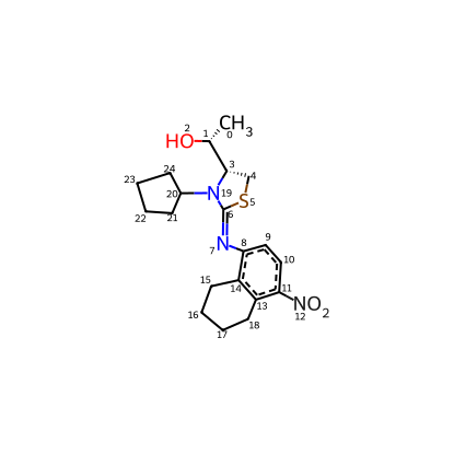 C[C@@H](O)[C@@H]1CS/C(=N\c2ccc([N+](=O)[O-])c3c2CCCC3)N1C1CCCC1